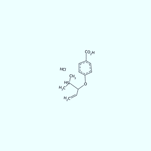 C=CC(Oc1ccc(C(=O)O)cc1)[SiH](C)C.Cl